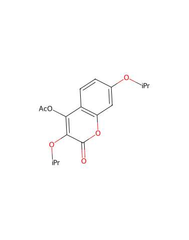 CC(=O)Oc1c(OC(C)C)c(=O)oc2cc(OC(C)C)ccc12